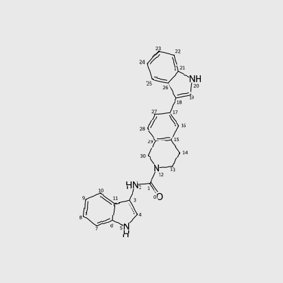 O=C(Nc1c[nH]c2ccccc12)N1CCc2cc(-c3c[nH]c4ccccc34)ccc2C1